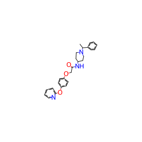 CC(c1ccccc1)N1CCC(NC(=O)COc2ccc(Oc3ccccn3)cc2)CC1